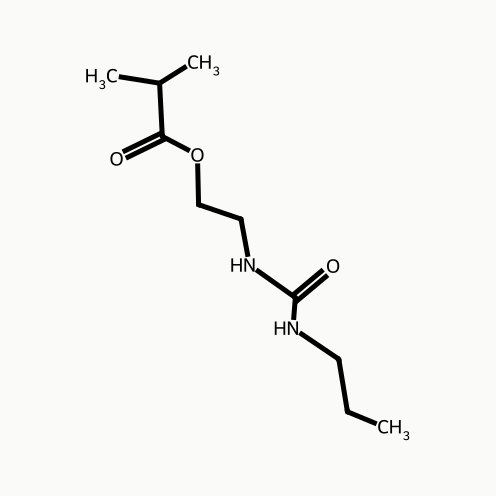 CCCNC(=O)NCCOC(=O)C(C)C